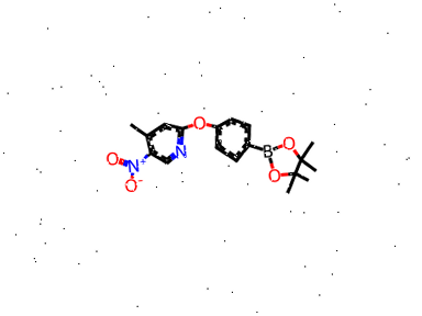 Cc1cc(Oc2ccc(B3OC(C)(C)C(C)(C)O3)cc2)ncc1[N+](=O)[O-]